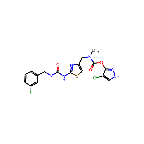 CN(Cc1csc(NC(=O)NCc2cccc(F)c2)n1)C(=O)Oc1n[nH]cc1Cl